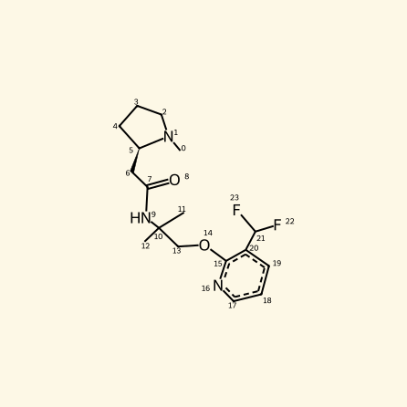 CN1CCC[C@@H]1CC(=O)NC(C)(C)COc1ncccc1C(F)F